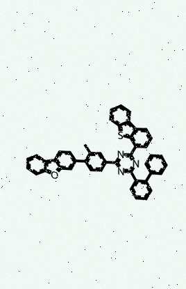 Cc1cc(-c2nc(-c3ccccc3-c3ccccc3)nc(-c3cccc4c3sc3ccccc34)n2)ccc1-c1ccc2c(c1)oc1ccccc12